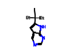 CCC(C)(CC)c1cc2cncnc2[nH]1